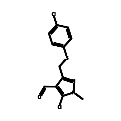 Cn1nc(CSc2ccc(Cl)cc2)c(C=O)c1Cl